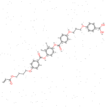 C=CC(=O)OCCCCOc1ccc(C(=O)Oc2ccc(OC(=O)c3ccc(OCCCOc4ccc(B(O)O)cc4)cc3)c(C)c2C)cc1